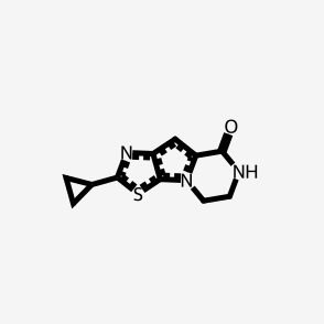 O=C1NCCn2c1cc1nc(C3CC3)sc12